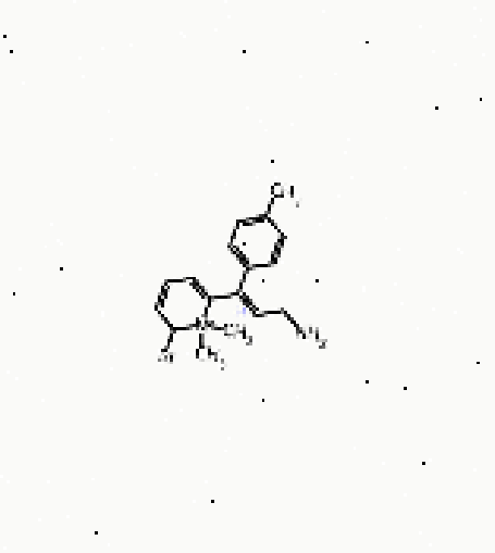 Cc1ccc(/C(=C\CN)C2=CC=CC(Br)[N+]2(C)C)cc1